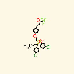 CCCC(c1ccc(Cl)cc1)(c1ccc(Cl)cc1)[S+]([O-])CCOc1ccc(CCC(=O)C(F)(F)F)cc1